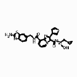 Nc1nc2ccc(CNC(=O)c3cccn4c(C(=O)N[C@@H](CO)CC5CC5)c(-c5ccsc5)nc34)cc2s1